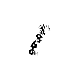 Cc1cc(C(N)=O)nn1-c1ccc2c(ccn2Cc2ccc(C3CCCNC3)cc2)c1